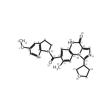 COc1cnc2c(c1)CCN2C(=O)c1cc2[nH]c(=O)c3cnc(C4CCOC4)n3c2cc1C